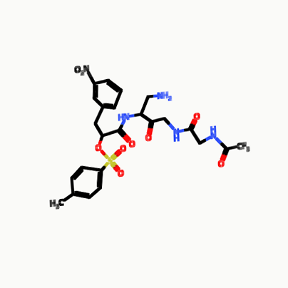 Cc1ccc(S(=O)(=O)OC(Cc2cccc([N+](=O)[O-])c2)C(=O)NC(CN)C(=O)CNC(=O)CNC(=O)C(F)(F)F)cc1